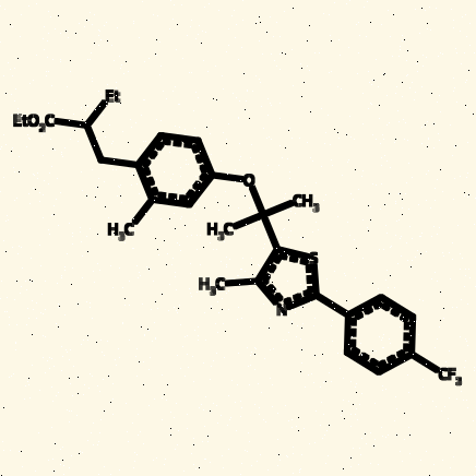 CCOC(=O)C(CC)Cc1ccc(OC(C)(C)c2sc(-c3ccc(C(F)(F)F)cc3)nc2C)cc1C